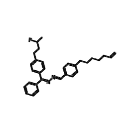 C=CCCCCCc1ccc(C=NN=C(c2ccccc2)c2ccc(CCC(C)F)cc2)cc1